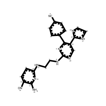 N#Cc1ccc(-c2nc(NCCNc3ccc(N=O)c(N)n3)ncc2-c2ncc[nH]2)cc1